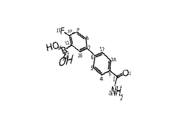 NC(=O)c1ccc(-c2ccc(F)c(B(O)O)c2)cc1